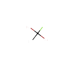 CCC(F)(Br)Br